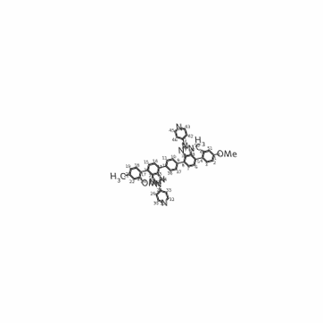 COc1ccc(-c2ccc(-c3ccc(-c4ccc(-c5ccc(C)cc5OC)c5nn(-c6ccncc6)nc45)cc3)c3nn(-c4ccncc4)nc23)c(C)c1